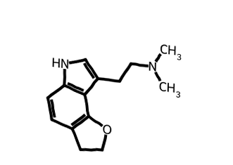 CN(C)CCc1c[nH]c2ccc3c(c12)OCC3